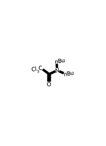 CCCCN(CCCC)C(=O)C(Cl)(Cl)Cl